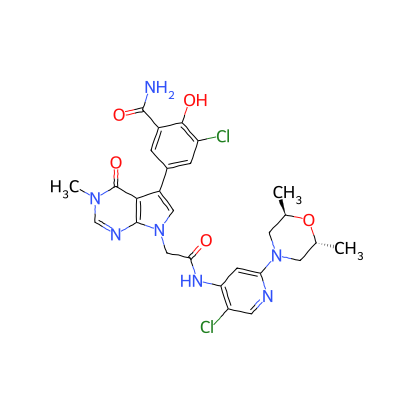 C[C@@H]1CN(c2cc(NC(=O)Cn3cc(-c4cc(Cl)c(O)c(C(N)=O)c4)c4c(=O)n(C)cnc43)c(Cl)cn2)C[C@@H](C)O1